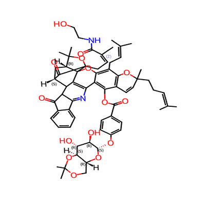 CC(C)=CCCC1(C)C=Cc2c(c(CC=C(C)C)c3c(c2OC(=O)c2ccc(O[C@@H]4O[C@@H]5COC(C)(C)O[C@H]5[C@H](O)[C@H]4O)cc2)C2=C4C(C5C(=O)c6ccccc6C5=N2)[C@@H]2C[C@@H]5C(C)(C)OC(C/C=C(/C)C(=O)NCCO)(C2=O)C45O3)O1